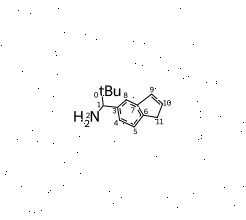 CC(C)(C)C(N)c1ccc2c(c1)C=CC2